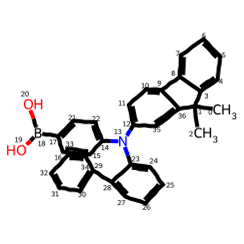 CC1(C)c2ccccc2-c2ccc(N(c3ccc(B(O)O)cc3)c3ccccc3-c3ccccc3)cc21